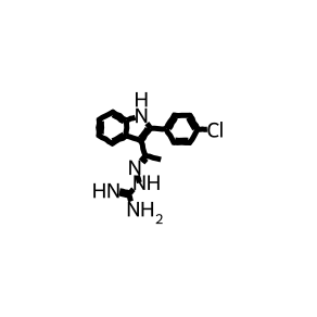 CC(=NNC(=N)N)c1c(-c2ccc(Cl)cc2)[nH]c2ccccc12